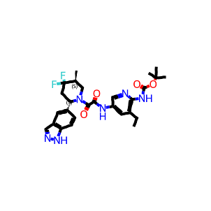 CCc1cc(NC(=O)C(=O)N2C[C@H](C)C(F)(F)C[C@H]2c2ccc3[nH]ncc3c2)cnc1NC(=O)OC(C)(C)C